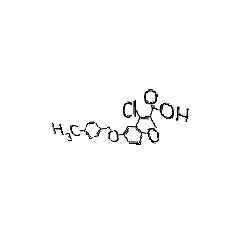 Cc1ccc(COc2ccc3c(c2)C(Cl)=C(C(=O)O)CO3)cc1